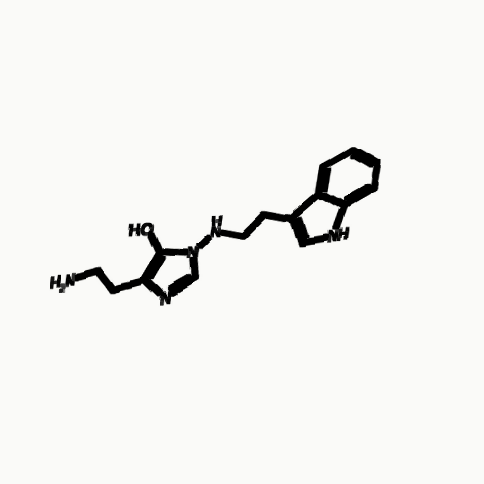 NCCc1ncn(NCCc2c[nH]c3ccccc23)c1O